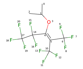 CC(C)OC(=C(C(F)(F)F)C(F)(F)F)C(F)(F)C(F)(F)F